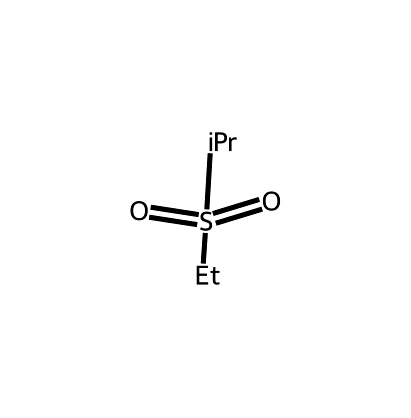 [CH2]C(C)S(=O)(=O)CC